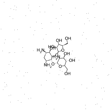 NC1C[C@@H](N)[C@@H](O)C(O[C@@H]2O[C@H](CO)C(O)[C@@H]2O)[C@@H]1O[C@H]1OC(CO)[C@@H](O)[C@H](O)C1N